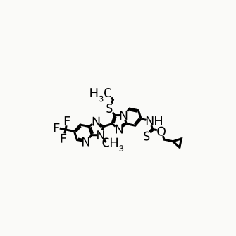 CCSc1c(-c2nc3cc(C(F)(F)F)cnc3n2C)nc2cc(NC(=S)OCC3CC3)ccn12